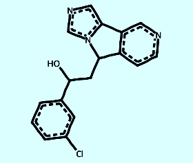 OC(CC1c2ccncc2-c2cncn21)c1cccc(Cl)c1